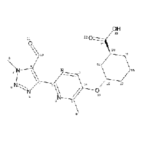 Cc1nc(-c2nnn(C)c2C=O)ccc1O[C@H]1CCC[C@H](C(=O)O)C1